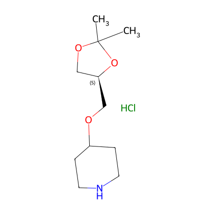 CC1(C)OC[C@H](COC2CCNCC2)O1.Cl